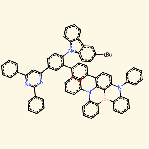 CC(C)(C)c1ccc2c(c1)c1ccccc1n2-c1ccc(-c2cc(-c3ccccc3)nc(-c3ccccc3)n2)cc1-c1ccc(-c2ccc3c4c2N(c2ccccc2)c2ccccc2B4c2ccccc2N3c2ccccc2)cc1